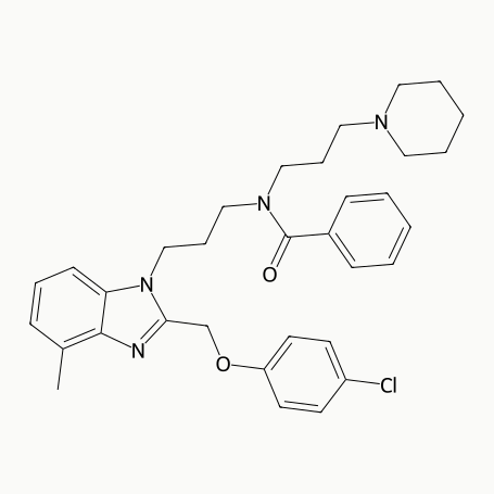 Cc1cccc2c1nc(COc1ccc(Cl)cc1)n2CCCN(CCCN1CCCCC1)C(=O)c1ccccc1